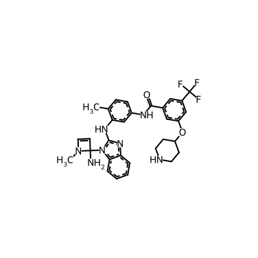 Cc1ccc(NC(=O)c2cc(OC3CCNCC3)cc(C(F)(F)F)c2)cc1Nc1nc2ccccc2n1C1(N)C=CN1C